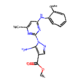 COc1ccccc1Nc1cc(C#N)nc(-n2ncc(C(=O)OC(C)(C)C)c2N)n1